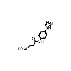 CCCCCCCCCCCC(=O)Nc1ccc(-n2cnnn2)cc1